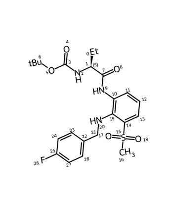 CC[C@H](NC(=O)OC(C)(C)C)C(=O)Nc1cccc(S(C)(=O)=O)c1NCc1ccc(F)cc1